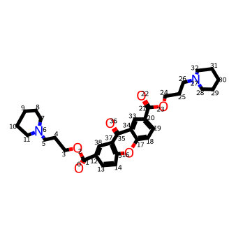 O=C(OCCCN1CCCCC1)c1ccc2oc3ccc(C(=O)OCCCN4CCCCC4)cc3c(=O)c2c1